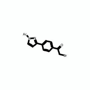 CC(=O)n1ccc(-c2ccc(C(=O)CBr)cc2)n1